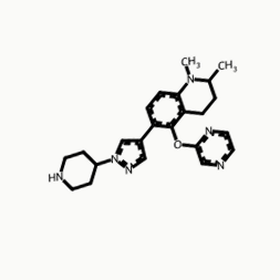 CC1CCc2c(ccc(-c3cnn(C4CCNCC4)c3)c2Oc2cnccn2)N1C